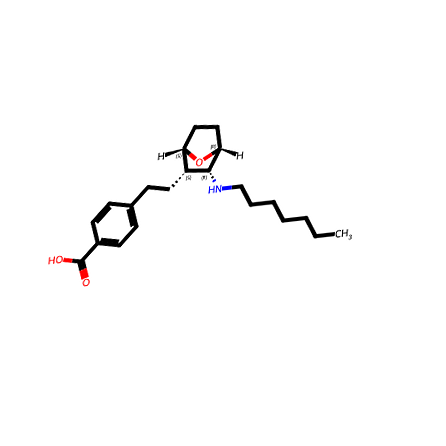 CCCCCCCN[C@@H]1[C@H](CCc2ccc(C(=O)O)cc2)[C@@H]2CC[C@H]1O2